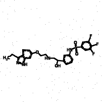 CCc1n[nH]c2cc(OCCNCC(O)c3cccc(NS(=O)(=O)c4cc(F)c(F)c(F)c4)c3)ccc12